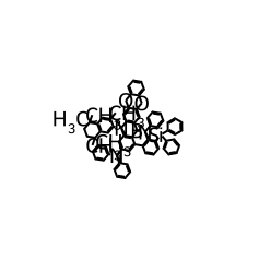 Cc1cc2c(cc1N1c3cc4c(cc3B3c5c(cc(N(c6ccccc6)c6ccccc6)cc51)-c1cccc5c1N3c1ccccc1[Si]5(c1ccccc1)c1ccccc1)Oc1ccccc1O4)C(C)(C)CCC2(C)C